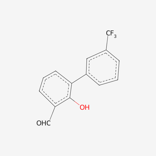 O=Cc1cccc(-c2cccc(C(F)(F)F)c2)c1O